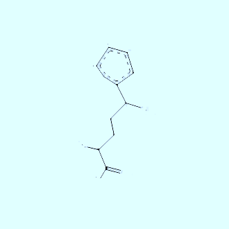 NC(CCC(N)c1ccccc1)C(=O)O